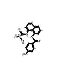 CCCc1ccc(C(=O)Sc2cccc3cccc(SC(=O)N(CC)CC)c23)cc1